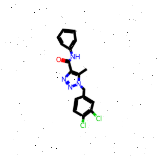 Cc1c(C(=O)Nc2c[c]ccc2)nnn1Cc1ccc(Cl)c(Cl)c1